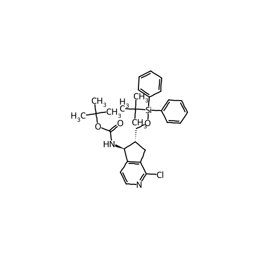 CC(C)(C)OC(=O)N[C@@H]1c2ccnc(Cl)c2C[C@H]1CO[Si](c1ccccc1)(c1ccccc1)C(C)(C)C